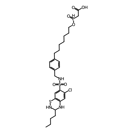 CCCCC1NSc2cc(S(=O)(=O)NCc3ccc(CCCCCCCO[PH](=O)CC(=O)O)cc3)c(Cl)cc2N1